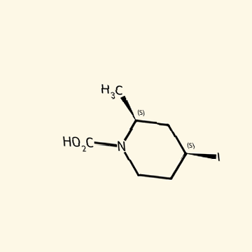 C[C@H]1C[C@@H](I)CCN1C(=O)O